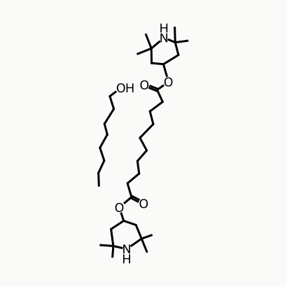 CC1(C)CC(OC(=O)CCCCCCCCC(=O)OC2CC(C)(C)NC(C)(C)C2)CC(C)(C)N1.CCCCCCCCO